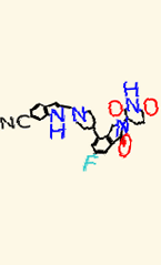 N#Cc1ccc2cc(CN3CCC(c4cc(F)cc5c4CN(C4CCC(=O)NC4=O)C5=O)CC3)[nH]c2c1